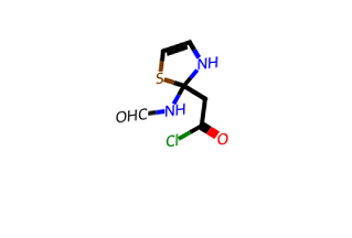 O=CNC1(CC(=O)Cl)NC=CS1